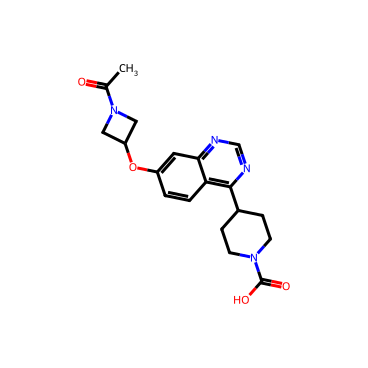 CC(=O)N1CC(Oc2ccc3c(C4CCN(C(=O)O)CC4)ncnc3c2)C1